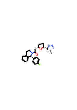 C=C(N)[C@H]1CC[C@@H](CC(=O)N2CCc3ccccc3[C@@H]2c2ccc(F)cc2)O1